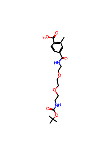 Cc1cc(C(=O)NCCOCCOCCNC(=O)OC(C)(C)C)ccc1C(=O)O